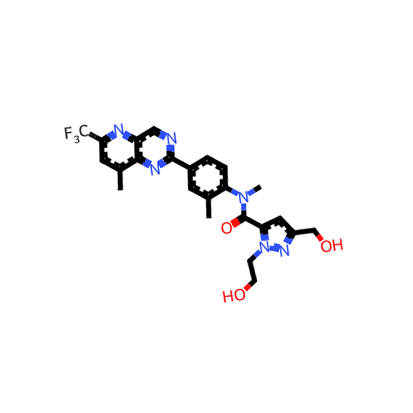 Cc1cc(-c2ncc3nc(C(F)(F)F)cc(C)c3n2)ccc1N(C)C(=O)c1cc(CO)nn1CCO